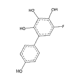 Oc1ccc(-c2cc(F)c(O)c(O)c2O)cc1